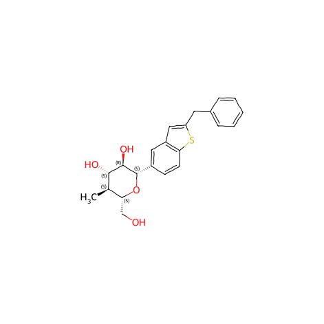 C[C@H]1[C@H](O)[C@@H](O)[C@H](c2ccc3sc(Cc4ccccc4)cc3c2)O[C@@H]1CO